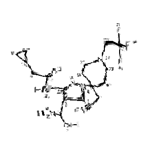 N#CCC1(n2cc(C(N)O)c(NC(=O)CC3CC3)n2)CCN(CC(F)(F)F)CC1